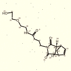 O=C(CCCN1C(=O)[C@@H]2C3C=CC(C3)[C@@H]2C1=O)NCCOCCO